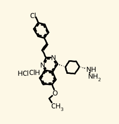 CCOc1ccc2nc(C=Cc3ccc(Cl)cc3)nc([C@H]3CC[C@@H](NN)CC3)c2c1.Cl.Cl